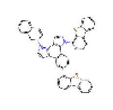 c1ccc2cc(-n3ccc4c5cc(-c6cccc7c6sc6ccccc67)ccc5c5c(ccn5-c5cccc6c5sc5ccccc56)c43)ccc2c1